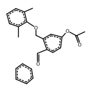 CC(=O)Oc1ccc(C=O)c(COc2c(C)cccc2C)c1.c1ccccc1